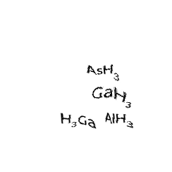 [AlH3].[AsH3].[GaH3].[GaH3]